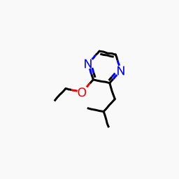 CCOc1nccnc1CC(C)C